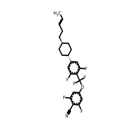 CC=CCC[C@H]1CC[C@H](c2cc(F)c(C(F)(F)Oc3cc(F)c(C#N)c(F)c3)c(F)c2)CC1